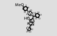 COc1ccc(N2CCN(C(c3ccccc3)c3sc4nc(C5=CCCO5)nn4c3O)CC2)cc1